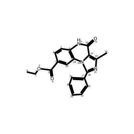 CCOC(=O)c1ccc2[nH]c(=O)c3c(C)nc(-c4ccccc4)n3c2c1